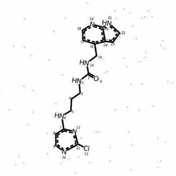 O=C(NCCCNc1ccnc(Cl)n1)NCc1ccnc2[nH]ccc12